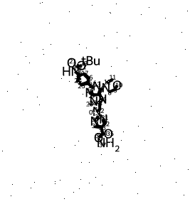 CN(Cc1nc2c(N3CCOCC3)nc(-c3ccc(NC(=O)OC(C)(C)C)cc3)nc2n1C)c1ncc(C(=O)ON)cn1